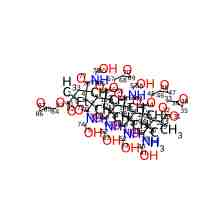 CCC(C)(CC(C)(CC(C)(CC(C)(CC(C)(CC(C)(CC(C)(CC(C)(CC(C)(CC(C)C(=O)OCC1CO1)C(=O)NCO)C(=O)OCC1CO1)C(=O)NCO)C(=O)NCO)C(=O)NCO)C(=O)OCC1CO1)C(=O)NCO)C(=O)NCO)C(=O)OCC1CO1